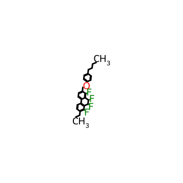 CCCCCc1ccc(OCc2ccc3c(c2F)C(F)C(F)c2c-3ccc(CCC)c2F)cc1